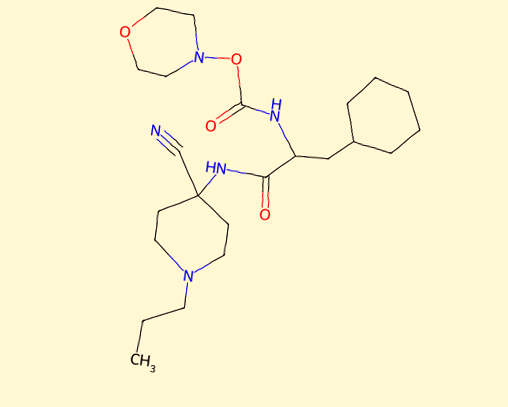 CCCN1CCC(C#N)(NC(=O)C(CC2CCCCC2)NC(=O)ON2CCOCC2)CC1